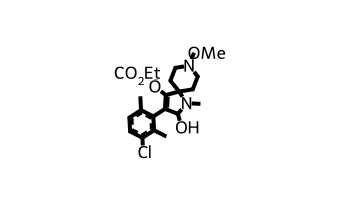 CCOC(=O)OC1=C(c2c(C)ccc(Cl)c2C)C(O)N(C)C12CCN(OC)CC2